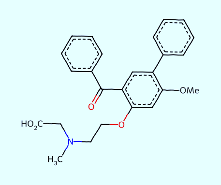 COc1cc(OCCN(C)CC(=O)O)c(C(=O)c2ccccc2)cc1-c1ccccc1